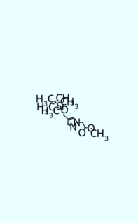 COC(=O)Cn1cc(CO[Si](C)(C)C(C)(C)C)cn1